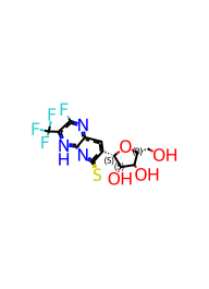 OC[C@H]1O[C@@H](c2cc3nc(F)c(C(F)(F)F)[nH]c-3nc2=S)[C@@H](O)C1O